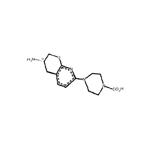 N[C@@H]1COc2nc(N3CCN(C(=O)O)CC3)ccc2C1